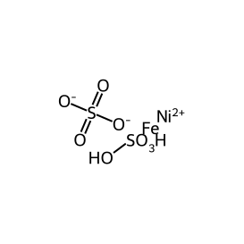 O=S(=O)(O)O.O=S(=O)([O-])[O-].[Fe].[Ni+2]